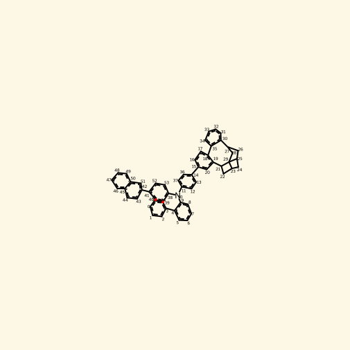 c1ccc(-c2ccccc2N(c2ccc(-c3ccc4c(c3)C3CC5CC6CC(CC653)c3ccccc3-4)cc2)c2ccc(-c3ccc4ccccc4c3)cc2)cc1